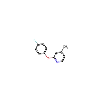 Cc1ccnc(Oc2ccc(F)cc2)c1